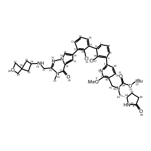 COc1nc(-c2cccc(-c3cccc(-c4cc5c(=O)n(C)c(CNC6CC7(COC7)C6)nn5c4)c3Cl)c2Cl)ccc1CN(C[C@@H]1CCC(=O)N1)C(=O)OC(C)(C)C